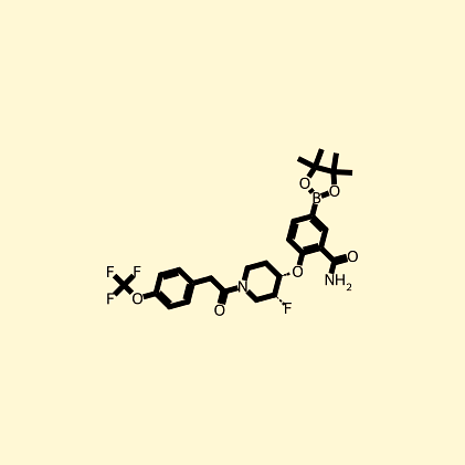 CC1(C)OB(c2ccc(O[C@H]3CCN(C(=O)Cc4ccc(OC(F)(F)F)cc4)C[C@H]3F)c(C(N)=O)c2)OC1(C)C